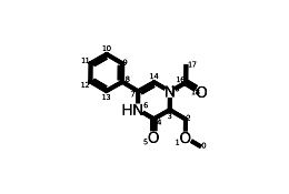 COCC1C(=O)NC(c2ccccc2)=CN1C(C)=O